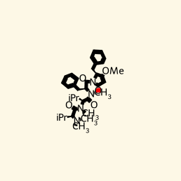 COC1=CC(=O)N(C(=O)[C@H](Cc2ccccc2)N(C)C(=O)[C@H](C(C)C)N(C)C(=O)[C@H](C(C)C)N(C)C)[C@H]1Cc1ccccc1